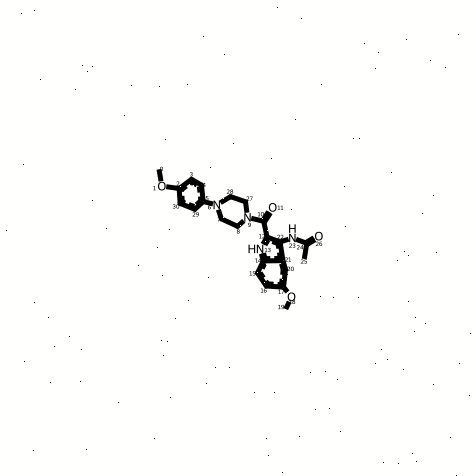 COc1ccc(N2CCN(C(=O)c3[nH]c4ccc(OC)cc4c3NC(C)=O)CC2)cc1